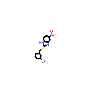 Cc1cccc(CSc2nc3cc([N+](=O)[O-])ccc3[nH]2)c1